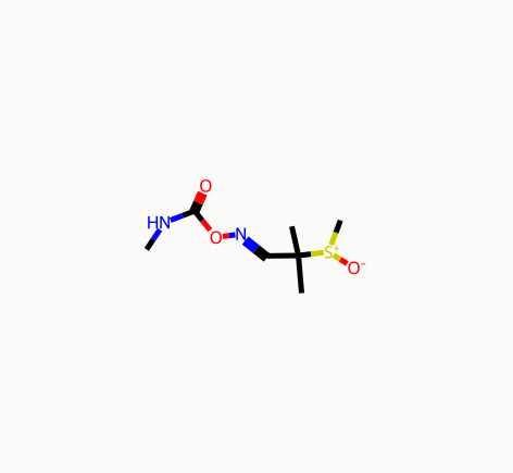 CNC(=O)ON=CC(C)(C)[S+](C)[O-]